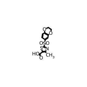 Cc1nc(S(=O)(=O)c2ccc3c(c2)OCCO3)sc1C(=O)O